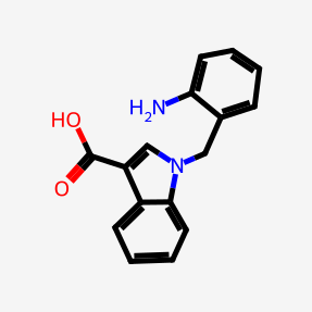 Nc1ccccc1Cn1cc(C(=O)O)c2ccccc21